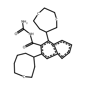 NC(=O)NC(=O)c1c(C2CCCCCCC2)cc2ccccc2c1C1CCCCCCC1